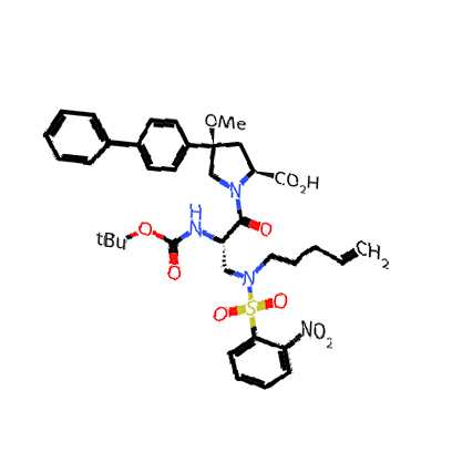 C=CCCCN(C[C@H](NC(=O)OC(C)(C)C)C(=O)N1C[C@](OC)(c2ccc(-c3ccccc3)cc2)C[C@H]1C(=O)O)S(=O)(=O)c1ccccc1[N+](=O)[O-]